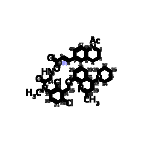 CC(=O)N1CCCc2cc(/C=C/C(=O)ONCC(=O)N(C)c3ccc(Cl)c(COc4cccc5c(N6CCCCC6)cc(C)nc45)c3Cl)ccc21